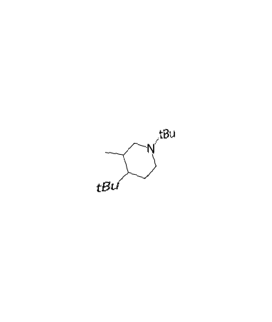 CC1CN(C(C)(C)C)CCC1C(C)(C)C